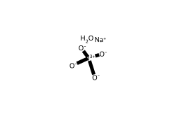 O.[Na+].[O-][I+3]([O-])([O-])[O-]